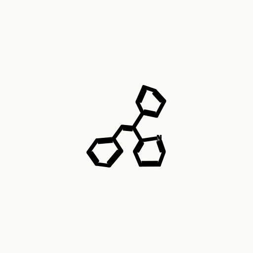 C(=C(c1ccccc1)c1ccccn1)c1ccccc1